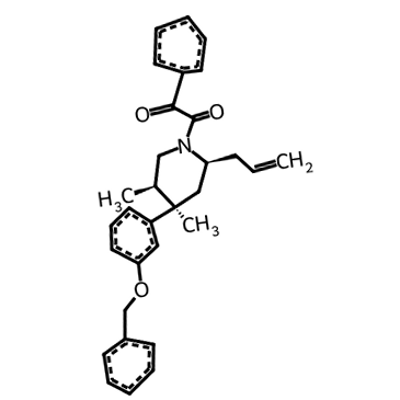 C=CC[C@H]1C[C@@](C)(c2cccc(OCc3ccccc3)c2)[C@@H](C)CN1C(=O)C(=O)c1ccccc1